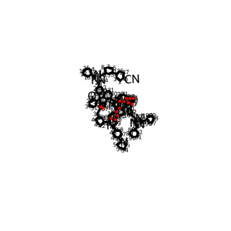 N#Cc1ccc(-c2cccc(-c3nc(-c4ccccc4)nc(-c4ccc5c(c4)Oc4ccccc4C54c5cc(Cc6cccc(-c7nc(-c8ccc(-c9ccccn9)cc8)cc(-c8ccc9c(c8)Oc8ccccc8C98c9ccccc9-c9cc(-c%10nc(-c%11ccccc%11)nc(-c%11ccccc%11)n%10)ccc98)n7)c6)ccc5-c5c(-c6nc(-c7ccccc7)nc(-c7ccccc7)n6)cccc54)n3)c2)cc1